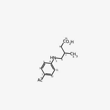 CC(=O)c1ccc(NCC(C)CC(=O)O)cc1